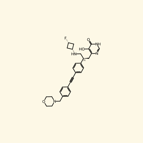 O=c1[nH]cnc(C[C@H](CN[C@H]2C[C@@H](F)C2)c2ccc(C#Cc3ccc(CN4CCOCC4)cc3)cc2)c1O